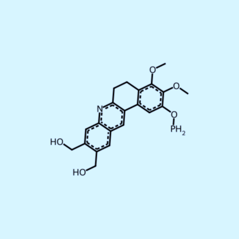 COc1c(OP)cc2c(c1OC)CCc1nc3cc(CO)c(CO)cc3cc1-2